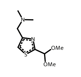 COC(OC)c1nc(CN(C)C)cs1